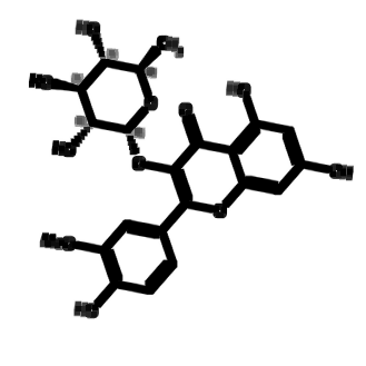 COc1cc(-c2oc3cc(O)cc(O)c3c(=O)c2O[C@H]2O[C@H](C)[C@@H](O)[C@H](O)[C@H]2O)ccc1O